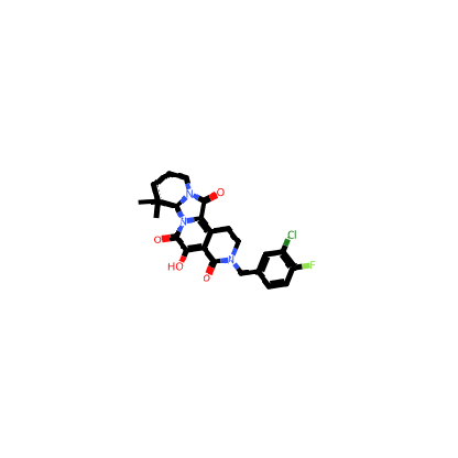 CC1(C)CCCN2C(=O)c3c4c(c(O)c(=O)n3C21)C(=O)N(Cc1ccc(F)c(Cl)c1)CC4